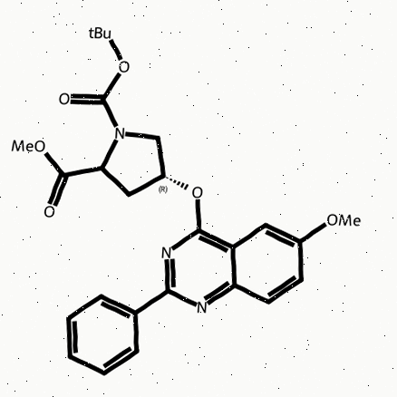 COC(=O)C1C[C@@H](Oc2nc(-c3ccccc3)nc3ccc(OC)cc23)CN1C(=O)OC(C)(C)C